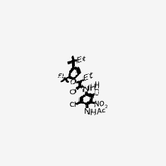 CCC(Oc1ccc(C(C)(C)CC)cc1C(C)(C)CC)C(=O)Nc1cc(Cl)c(NC(C)=O)c([N+](=O)[O-])c1O